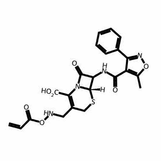 C=CC(=O)ONCC1=C(C(=O)O)N2C(=O)C(NC(=O)c3c(-c4ccccc4)noc3C)[C@@H]2SC1